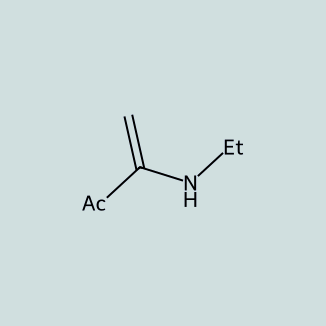 C=C(NCC)C(C)=O